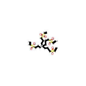 C=CS(=O)(=O)CCC[Si](CCCS(=O)(=O)C=C)(CCCS(=O)(=O)C=C)CCCS(=O)(=O)C=C